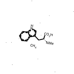 C.CN[C@H](Cc1c[nH]c2ccccc12)C(=O)O